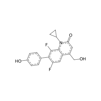 O=c1cc(CO)c2cc(F)c(-c3ccc(O)cc3)c(F)c2n1C1CC1